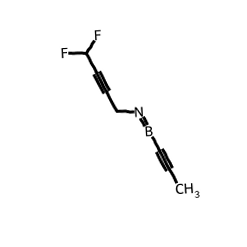 CC#C/B=N/CC#CC(F)F